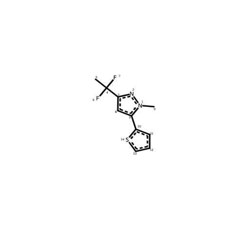 Cn1nc(C(C)(F)F)cc1-c1cccs1